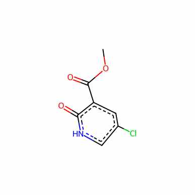 COC(=O)c1cc(Cl)c[nH]c1=O